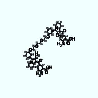 Cc1c(C(=O)c2ccc(N)c(C(=O)O)c2)c2ccccn2c1-c1cccc(OCCOCCOCCOc2cccc(-c3c(C)c(C(=O)c4ccc(N)c(C(=O)O)c4)c4ccccn34)c2)c1